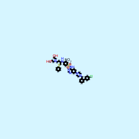 O=[N+]([O-])c1cc(S(=O)(=O)Nc2ncnc3cc(N4CCN(Cc5ccccc5-c5ccc(Cl)cc5)CC4)ccc23)ccc1NC(CCN(CCO)CCO)CSc1ccccc1